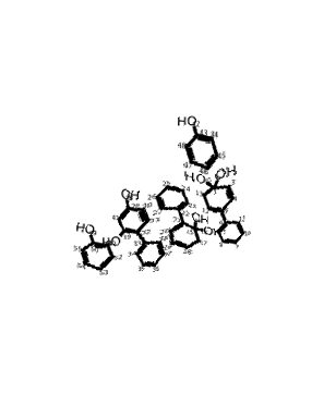 OC1(O)C=CC(c2ccccc2)=CC1.OC1(O)CC=CC=C1c1ccccc1.Oc1ccc(-c2ccccc2)c(O)c1.Oc1ccccc1.Oc1ccccc1